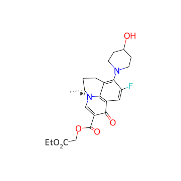 CCOC(=O)COC(=O)c1cn2c3c(c(N4CCC(O)CC4)c(F)cc3c1=O)CC[C@H]2C